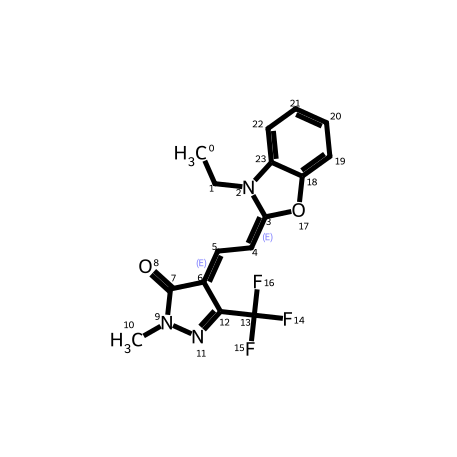 CCN1/C(=C\C=C2\C(=O)N(C)N=C2C(F)(F)F)Oc2ccccc21